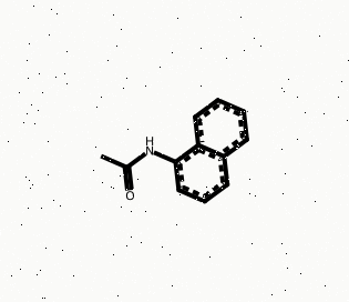 CC(=O)Nc1cccc2c[c]ccc12